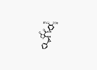 COc1ccc(NC(=O)C2=C(NC3CC3c3ccccc3)OCC2=O)cc1OC